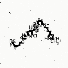 CC1(C)CC(CCCCNc2cccc(S(=O)(=O)NC(=O)c3ccc(-n4cc(OCCC5CC5C(F)(F)F)cn4)nc3Cl)n2)CN1